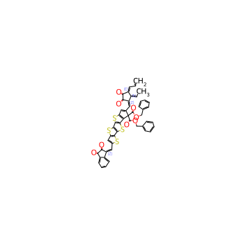 C=C/C=C1/C(=O)C(=O)C(=C\C2=Cc3sc4c(sc5c6sc(/C=C7\C(=O)C(=O)c8ccccc87)cc6sc45)c3C2(C(=O)OCc2ccccc2)C(=O)OCc2ccccc2)/C1=C/C